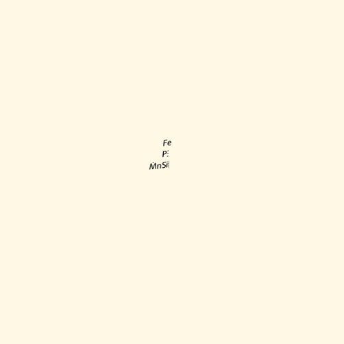 [Fe].[Mn].[P].[Si]